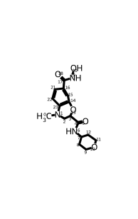 CN1CC(C(=O)NC2CCOCC2)Oc2cc(C(=O)NO)ccc21